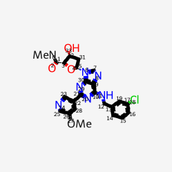 CNC(=O)[C@H]1O[C@@H](n2cnc3c(NCc4cccc(Cl)c4)nc(-c4cncc(OC)c4)nc32)C[C@@H]1O